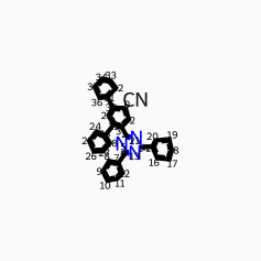 N#Cc1cc(-c2nc(-c3ccccc3)nc(-c3ccccc3)n2)c(-c2ccccc2)cc1-c1ccccc1